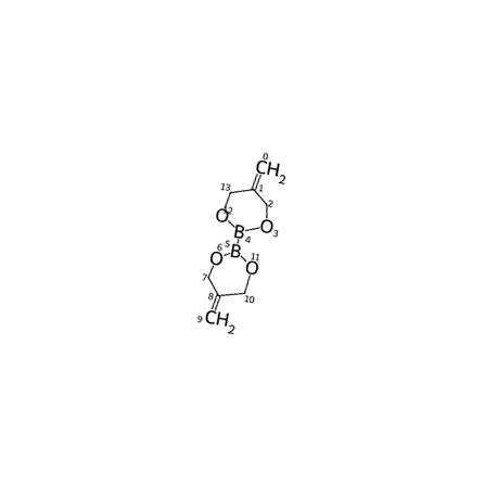 C=C1COB(B2OCC(=C)CO2)OC1